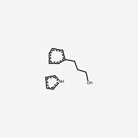 OCCCc1ccccc1.c1cc[nH]c1